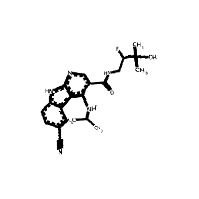 CC(C)Nc1c(C(=O)NCC(F)C(C)(C)O)cnc2[nH]c3ccc(C#N)cc3c12